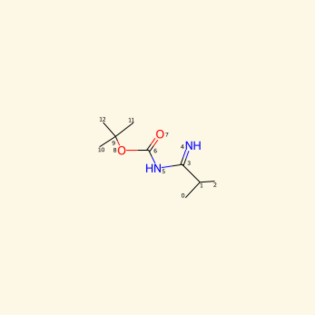 CC(C)C(=N)NC(=O)OC(C)(C)C